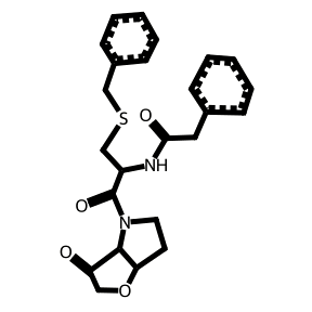 O=C(Cc1ccccc1)NC(CSCc1ccccc1)C(=O)N1CCC2OCC(=O)C21